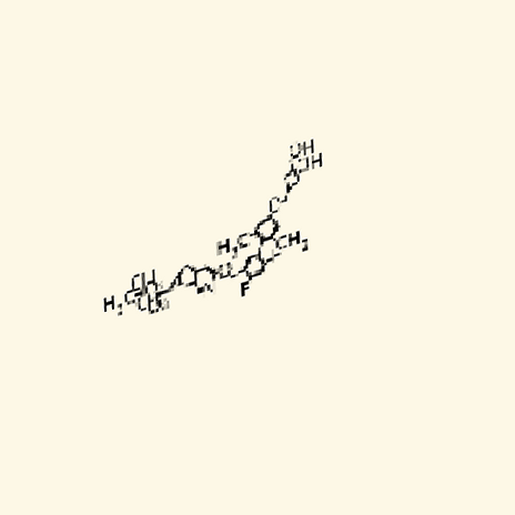 Cc1cc(OCC2CC(O)(CO)C2)cc(C)c1-c1cc(COc2cc3c(cn2)C2C(C3)C2C(=O)OC(C)(C)C)c(F)cc1F